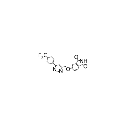 O=C1NC(=O)c2cc(OCc3cc(C4=CCC(C(F)(F)F)CC4)ncn3)ccc21